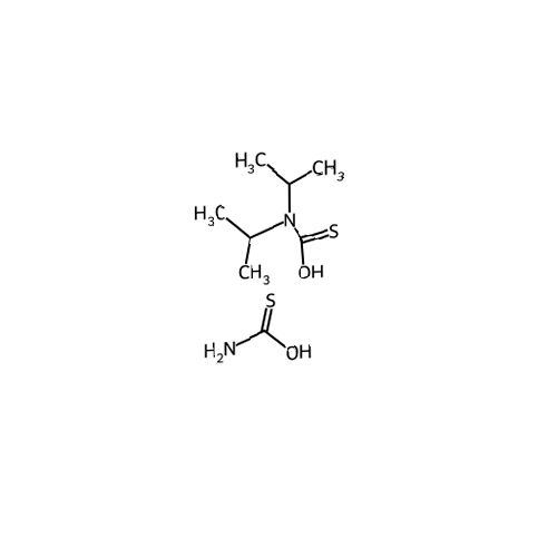 CC(C)N(C(O)=S)C(C)C.NC(O)=S